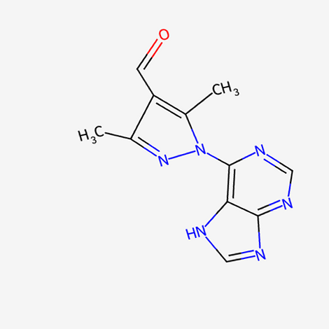 Cc1nn(-c2ncnc3nc[nH]c23)c(C)c1C=O